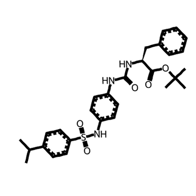 CC(C)c1ccc(S(=O)(=O)Nc2ccc(NC(=O)N[C@@H](Cc3ccccc3)C(=O)OC(C)(C)C)cc2)cc1